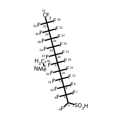 CNC.O=S(=O)(O)C(F)C(F)(F)C(F)(F)C(F)(F)C(F)(F)C(F)(F)C(F)(F)C(F)(F)C(F)(F)C(F)(F)C(F)(F)C(F)(F)F